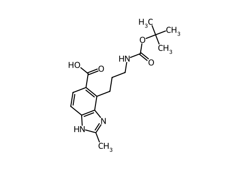 Cc1nc2c(CCCNC(=O)OC(C)(C)C)c(C(=O)O)ccc2[nH]1